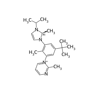 Cc1c(N2C=CN(C(C)C)[C@H]2C)cc(C(C)(C)C)cc1-[n+]1cccnc1C